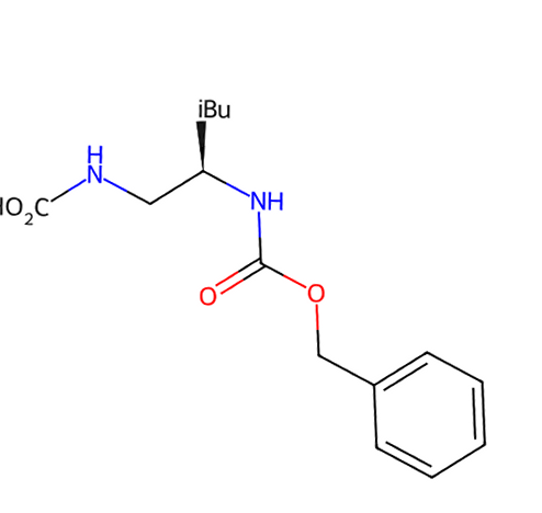 CCC(C)[C@H](CNC(=O)O)NC(=O)OCc1ccccc1